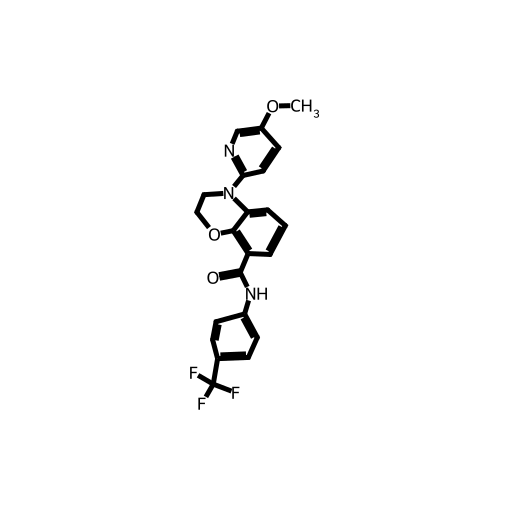 COc1ccc(N2CCOc3c(C(=O)Nc4ccc(C(F)(F)F)cc4)cccc32)nc1